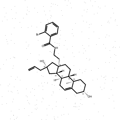 C=CC[C@]1(O)C[C@H]2[C@@H]3CC=C4C[C@@H](O)CC[C@]4(C)[C@H]3CC[C@]2(CCNC(=O)c2ccccc2Br)C1